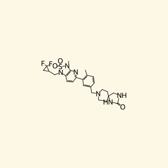 Cc1ccc(CN2CCC3(CC2)CNC(=O)N3)cc1-c1ccc2c(n1)N(C)S(=O)(=O)N2CC1CC1(F)F